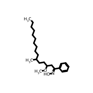 CCCCCCCCCCC(C)CCC(CC(=NO)c1ccccc1)OC